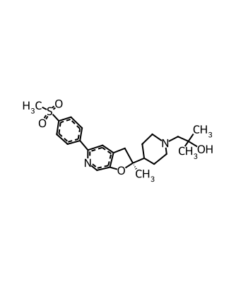 CC(C)(O)CN1CCC([C@]2(C)Cc3cc(-c4ccc(S(C)(=O)=O)cc4)ncc3O2)CC1